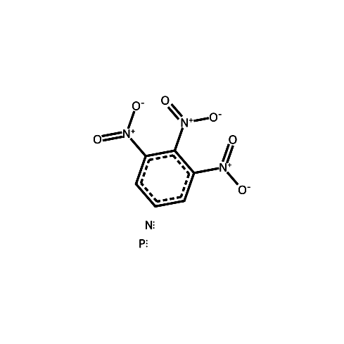 O=[N+]([O-])c1cccc([N+](=O)[O-])c1[N+](=O)[O-].[N].[P]